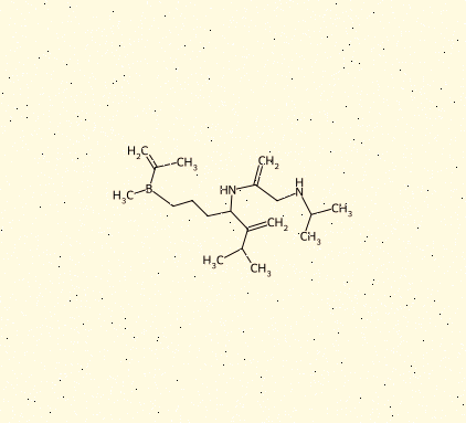 C=C(CNC(C)C)NC(CCCB(C)C(=C)C)C(=C)C(C)C